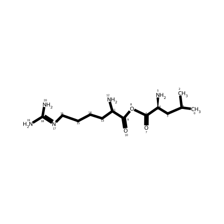 CC(C)C[C@H](N)C(=O)OC(=O)C(N)CCCCN=C(N)N